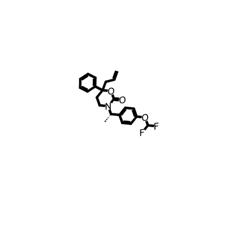 C=CCC1(c2ccccc2)CCN([C@@H](C)c2ccc(OC(F)F)cc2)C(=O)O1